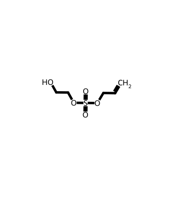 C=CCOS(=O)(=O)OCCO